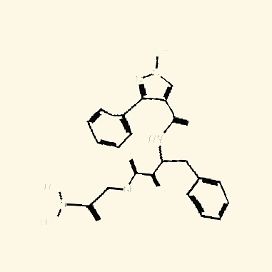 CN(C)C(=O)CNC(=O)C(=O)C(Cc1ccccc1)NC(=O)c1cn(C)nc1-c1ccccc1